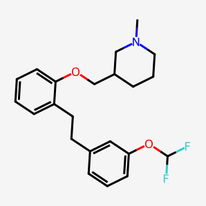 CN1CCCC(COc2ccccc2CCc2cccc(OC(F)F)c2)C1